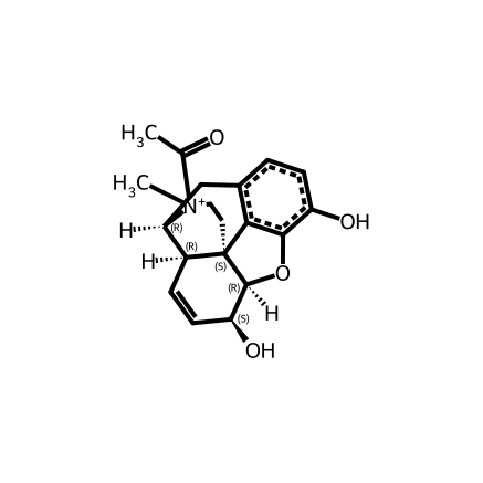 CC(=O)[N+]1(C)CC[C@]23c4c5ccc(O)c4O[C@H]2[C@@H](O)C=C[C@H]3[C@H]1C5